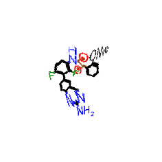 COc1ccccc1S(=O)(=O)Nc1ccc(F)c(-c2ccc3nc(N)ncc3c2)c1F